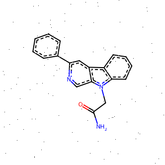 NC(=O)Cn1c2ccccc2c2cc(-c3ccccc3)ncc21